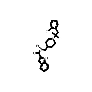 CCN(CC1CCN(C(C)(C)Cc2ccccc2Cl)CC1)C(=O)c1cc2ccccc2[nH]1